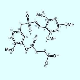 COc1cc(OC)c(/C=C/S(=O)(=O)Cc2ccc(OC)c(OC(=O)CCC(=O)Cl)c2)c(OC)c1